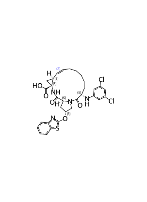 O=C1N[C@]2(C(=O)O)C[C@H]2/C=C\CCCCC[C@H](Nc2cc(Cl)cc(Cl)c2)C(=O)N2C[C@H](Oc3nc4ccccc4s3)C[C@@H]12